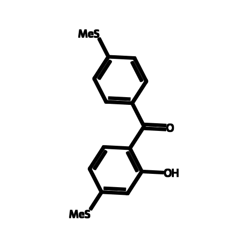 CSc1ccc(C(=O)c2ccc(SC)cc2O)cc1